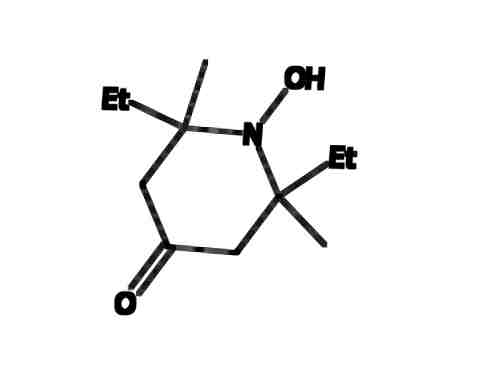 CCC1(C)CC(=O)CC(C)(CC)N1O